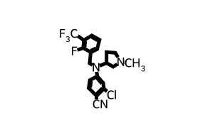 CN1CCC(N(Cc2cccc(C(F)(F)F)c2F)c2ccc(C#N)c(Cl)c2)C1